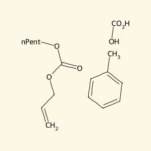 C=CCOC(=O)OCCCCC.Cc1ccccc1.O=C(O)O